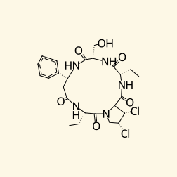 CC[C@@H]1NC(=O)C2[C@H](Cl)[C@H](Cl)CN2C(=O)[C@H](CC)NC(=O)C[C@H](c2ccccc2)NC(=O)[C@H](CO)NC1=O